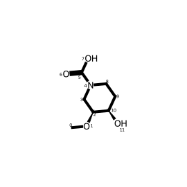 CO[C@H]1CN(C(=O)O)CC[C@H]1O